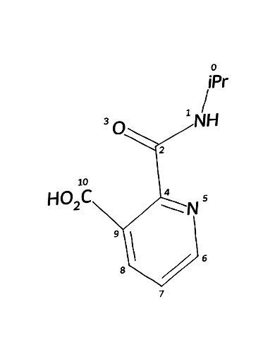 CC(C)NC(=O)c1ncccc1C(=O)O